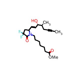 CC#CC[C@H](C)[C@@H](O)C=CC1CC(F)(F)C(=O)N1CCCCCCC(=O)OC